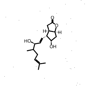 CC(C)=CCC(C)[C@@H](O)/C=C/[C@@H]1[C@H]2CC(=O)O[C@H]2C[C@H]1O